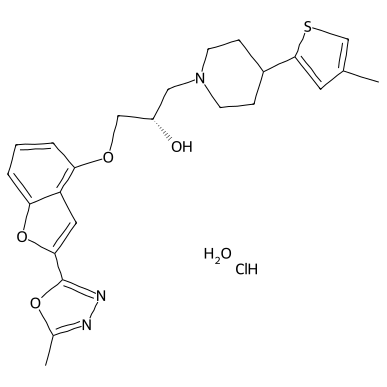 Cc1csc(C2CCN(C[C@H](O)COc3cccc4oc(-c5nnc(C)o5)cc34)CC2)c1.Cl.O